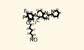 CC1c2cnc(-c3ccccn3)nc2CCN1c1cc(F)c(F)c(OCCCCCN=O)c1